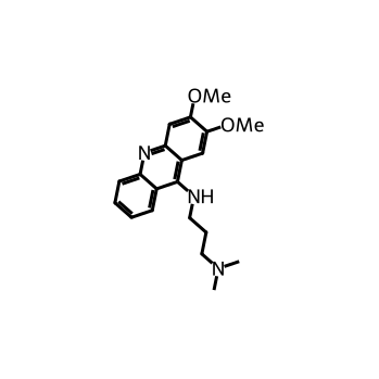 COc1cc2nc3ccccc3c(NCCCN(C)C)c2cc1OC